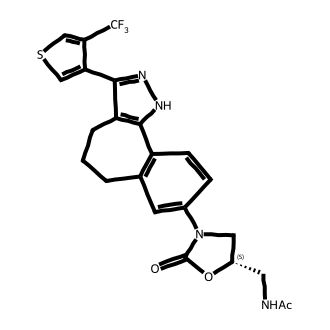 CC(=O)NC[C@H]1CN(c2ccc3c(c2)CCCc2c(-c4cscc4C(F)(F)F)n[nH]c2-3)C(=O)O1